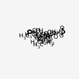 C/C(=C\C(C(C)C)N(C)C(=O)[C@@H](NC(=O)[C@@H](C)C(C)(C)c1cccc(C)c1)C(C)(C)C)C(O)N[C@H](CCC(=O)NCCN1C(=O)C=CC1=O)C(=O)O